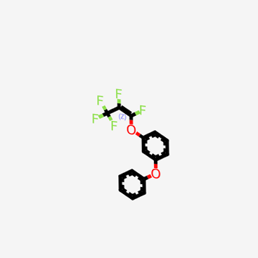 F/C(Oc1cccc(Oc2ccccc2)c1)=C(\F)C(F)(F)F